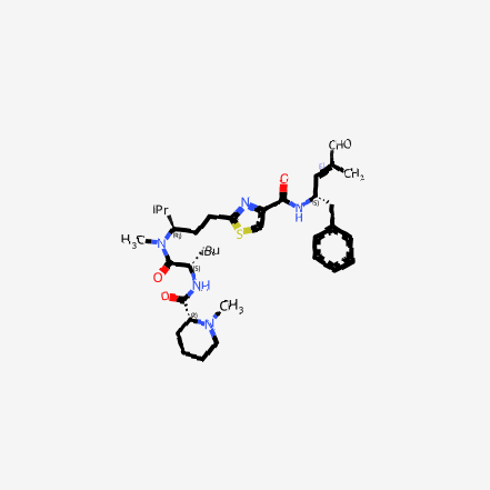 CCC(C)[C@H](NC(=O)[C@H]1CCCCN1C)C(=O)N(C)[C@H](CCc1nc(C(=O)N[C@H](/C=C(\C)C=O)Cc2ccccc2)cs1)C(C)C